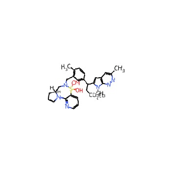 CCOC(=O)CC(c1ccc(C)c(CN2C[C@H]3CCCN3c3ncccc3S2(O)O)c1)c1cc2cc(C)nnc2n1C